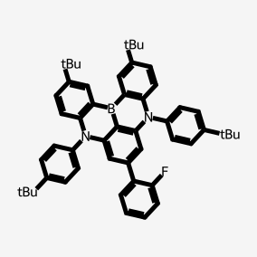 CC(C)(C)c1ccc(N2c3ccc(C(C)(C)C)cc3B3c4cc(C(C)(C)C)ccc4N(c4ccc(C(C)(C)C)cc4)c4cc(-c5ccccc5F)cc2c43)cc1